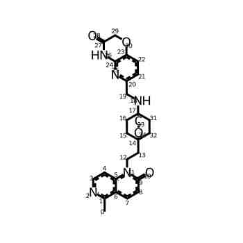 Cc1nccc2c1ccc(=O)n2CCC12CCC(NCc3ccc4c(n3)NC(=O)CO4)(CC1)CO2